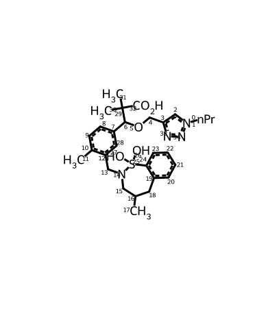 CCCn1cc(COC(c2ccc(C)c(CN3CC(C)Cc4ccccc4S3(O)O)c2)C(C)(C)C(=O)O)nn1